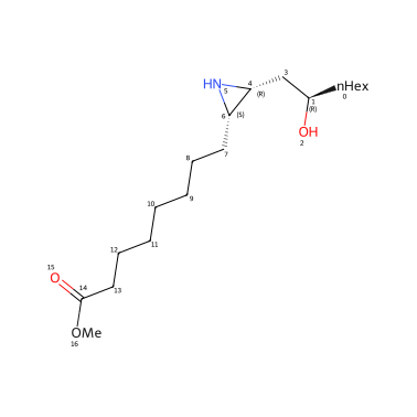 CCCCCC[C@@H](O)C[C@H]1N[C@H]1CCCCCCCC(=O)OC